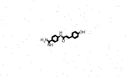 N=C(N)c1ccc(NC(=O)C=Cc2ccc(O)cc2)cc1